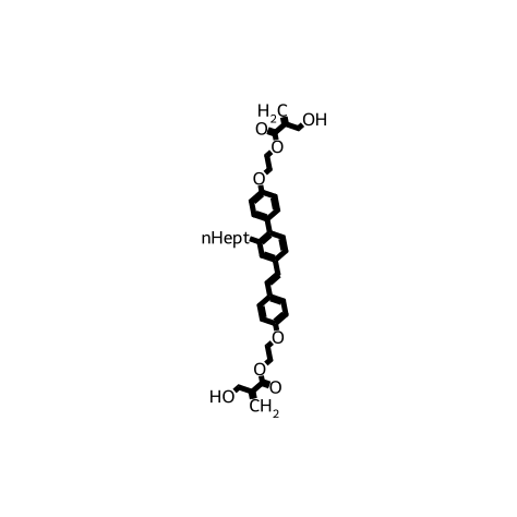 C=C(CO)C(=O)OCCOc1ccc(/C=C/c2ccc(-c3ccc(OCCOC(=O)C(=C)CO)cc3)c(CCCCCCC)c2)cc1